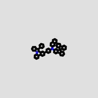 c1ccc(-c2c3ccccc3n3c4ccccc4c4ccc(-c5ccc(N(c6ccc7c(c6)C(c6ccccc6)(c6ccccc6)c6ccccc6-7)c6ccc7ccccc7c6)cc5)cc4c23)cc1